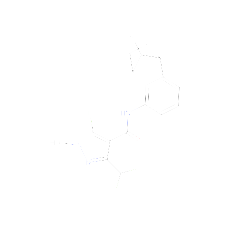 CC(C)C1C2CCC1c1c(NC(=O)c3c(C(F)F)nn(C)c3F)cccc12